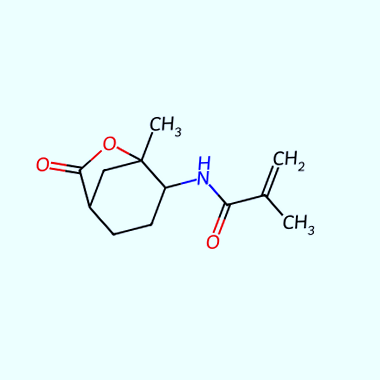 C=C(C)C(=O)NC1CCC2CC1(C)OC2=O